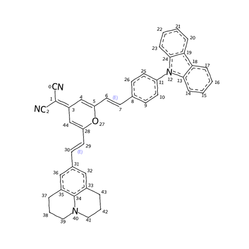 N#CC(C#N)=C1C=C(/C=C/c2ccc(-n3c4ccccc4c4ccccc43)cc2)OC(/C=C/c2cc3c4c(c2)CCCN4CCC3)=C1